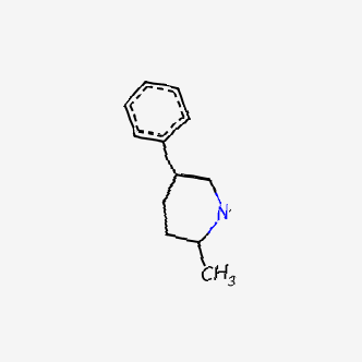 CC1CCC(c2ccccc2)C[N]1